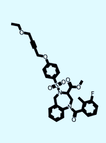 CCOCC#CCOc1ccc(S(=O)(=O)N2Cc3ccccc3N(C(=O)c3cccc(F)c3C)CC2C(=O)OC)cc1